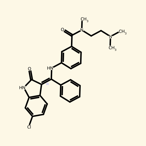 CN(C)CCN(C)C(=O)c1cccc(N/C(=C2\C(=O)Nc3cc(Cl)ccc32)c2ccccc2)c1